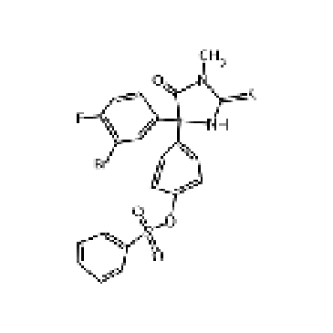 CN1C(=O)C(c2ccc(OS(=O)(=O)c3ccccc3)cc2)(c2ccc(F)c(Br)c2)NC1=S